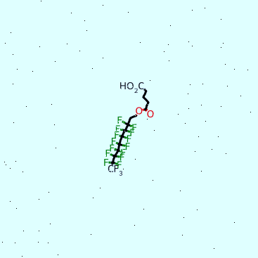 O=C(O)CCCC(=O)OCCC(F)(F)C(F)(F)C(F)(F)C(F)(F)C(F)(F)C(F)(F)C(F)(F)C(F)(F)F